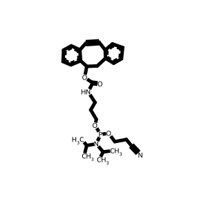 CC(C)N(C(C)C)P(OCCC#N)OCCCNC(=O)OC1Cc2ccccc2C#Cc2ccccc21